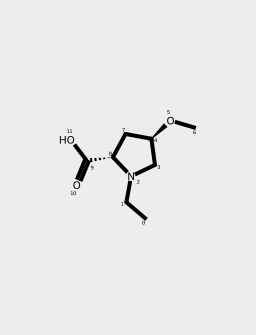 CCN1C[C@H](OC)C[C@H]1C(=O)O